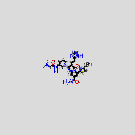 CN(C)CC(=O)N[C@H]1CCCN(c2nc3cc(C(N)=O)cc(-c4nc(C(C)(C)C)cs4)n3c(=O)c2C=Cc2nnn[nH]2)C1